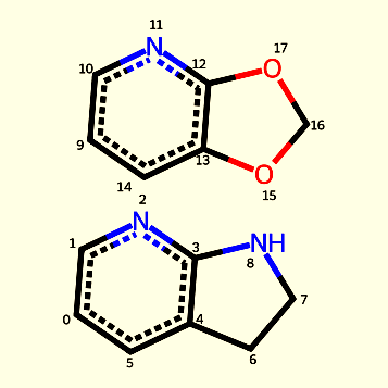 c1cnc2c(c1)CCN2.c1cnc2c(c1)OCO2